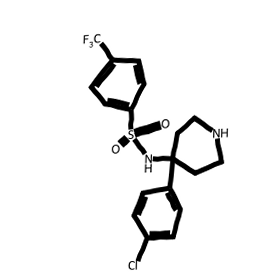 O=S(=O)(NC1(c2ccc(Cl)cc2)CCNCC1)c1ccc(C(F)(F)F)cc1